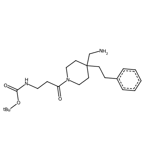 CC(C)(C)OC(=O)NCCC(=O)N1CCC(CN)(CCc2ccccc2)CC1